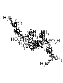 C[n+]1cc(-c2ccc(OC[C@H](O/N=C(\C(=O)N[C@@H]3C(=O)N(OS(=O)(=O)ON4C(=O)[C@@H](NC(=O)/C(=N\O[C@@H](COc5ccc(-c6cn(CCCN)[n+](C)c6)nn5)C(=O)O)c5csc(N)n5)C4(C)C)C3(C)C)c3csc(N)n3)C(=O)O)nn2)cn1CCCN